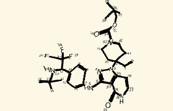 CCC1(n2nc(Nc3ccc(C(NC(C)(C)C)C(F)(F)F)cc3)c3c(=O)[nH]ccc32)CCN(C(=O)OC(C)(C)C)CC1